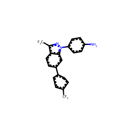 Nc1ccc(-n2nc(C(F)(F)F)c3ccc(-c4ccc(C(F)(F)F)cc4)cc32)cc1